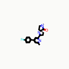 Cc1cc(-c2ccc(F)cc2)cc(C2=N[C@]3(CC2)CCN(C)C3=O)n1